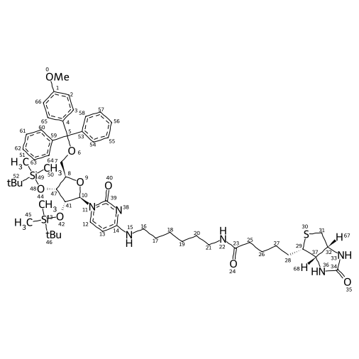 COc1ccc(C(OC[C@H]2O[C@@H](n3ccc(NCCCCCCNC(=O)CCCC[C@@H]4SC[C@@H]5NC(=O)N[C@@H]54)nc3=O)[C@H](O[Si](C)(C)C(C)(C)C)[C@@H]2O[Si](C)(C)C(C)(C)C)(c2ccccc2)c2ccccc2)cc1